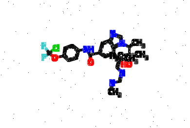 C=N/C=N\C=C(/C)c1cc(C(=O)Nc2ccc(OC(F)(F)Cl)cc2)cc2ncn([C@@H](C)C(C)(C)O)c12